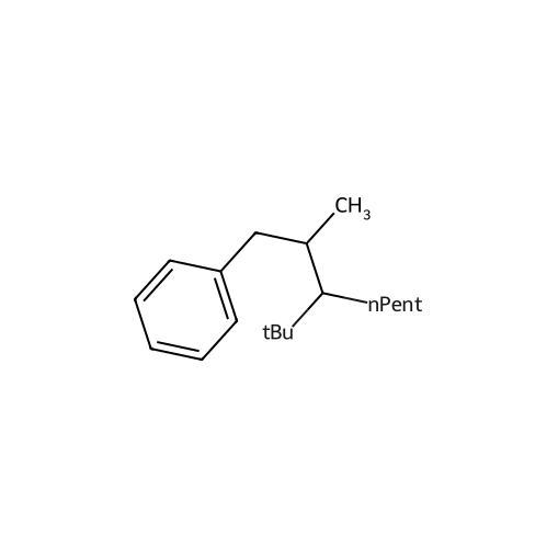 CCCCCC(C(C)Cc1ccccc1)C(C)(C)C